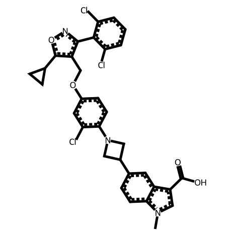 Cn1cc(C(=O)O)c2cc(C3CN(c4ccc(OCc5c(-c6c(Cl)cccc6Cl)noc5C5CC5)cc4Cl)C3)ccc21